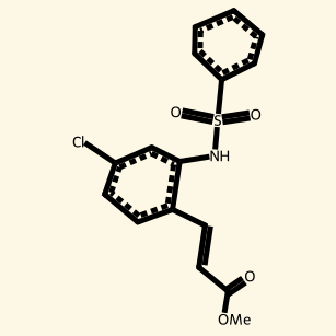 COC(=O)C=Cc1ccc(Cl)cc1NS(=O)(=O)c1ccccc1